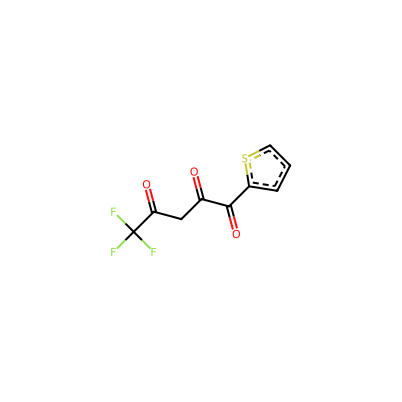 O=C(CC(=O)C(F)(F)F)C(=O)c1cccs1